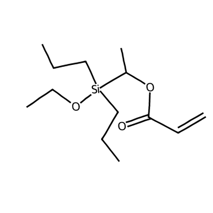 C=CC(=O)OC(C)[Si](CCC)(CCC)OCC